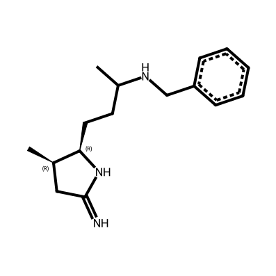 CC(CC[C@H]1NC(=N)C[C@H]1C)NCc1ccccc1